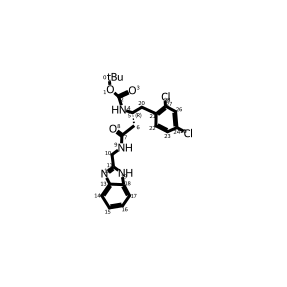 CC(C)(C)OC(=O)N[C@@H](CC(=O)NCc1nc2ccccc2[nH]1)Cc1ccc(Cl)cc1Cl